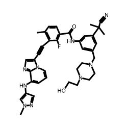 Cc1ccc(C(=O)Nc2cc(CN3CCN(CCO)CC3)cc(C(C)(C)C#N)c2)c(F)c1C#Cc1cnc2c(Nc3cnn(C)c3)cccn12